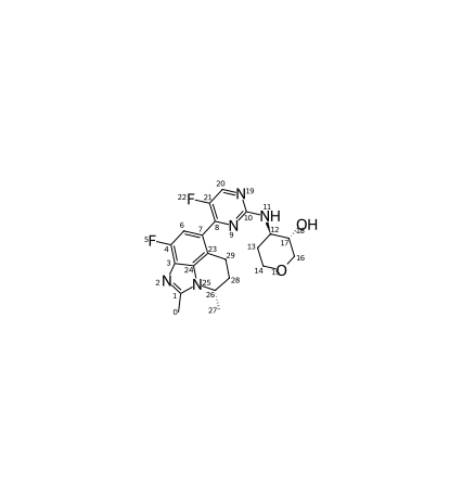 Cc1nc2c(F)cc(-c3nc(N[C@@H]4CCOC[C@H]4O)ncc3F)c3c2n1[C@@H](C)CC3